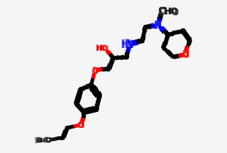 CC(C)COCCOc1ccc(OCC(O)CNCCN(C=O)C2CCOCC2)cc1